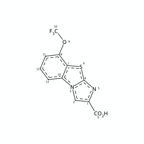 O=C(O)c1cn2c(n1)sc1c(OC(F)(F)F)cccc12